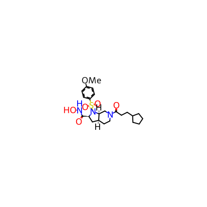 COc1ccc(S(=O)(=O)N2[C@H](C(=O)NO)C[C@@H]3CCN(C(=O)CCC4CCCC4)C[C@@H]32)cc1